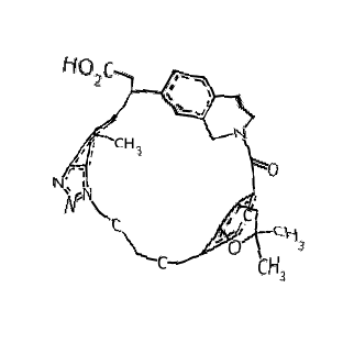 Cc1c2ccc3c1nnn3CCCCCc1ccc(c3c1OC(C)(C)C3)C(=O)N1CCc3ccc(cc3C1)C2CC(=O)O